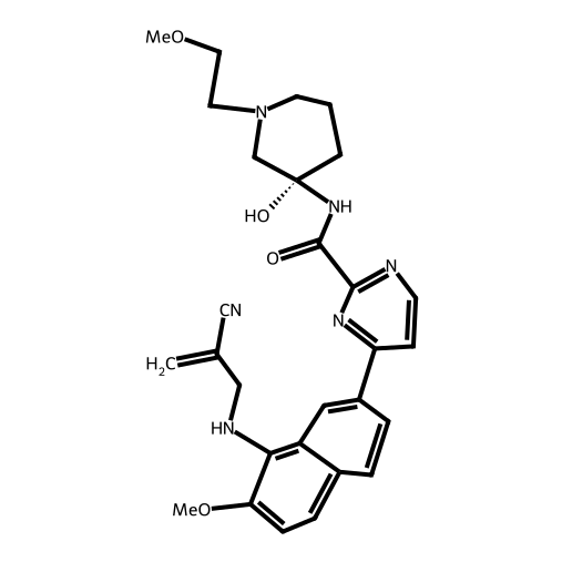 C=C(C#N)CNc1c(OC)ccc2ccc(-c3ccnc(C(=O)N[C@]4(O)CCCN(CCOC)C4)n3)cc12